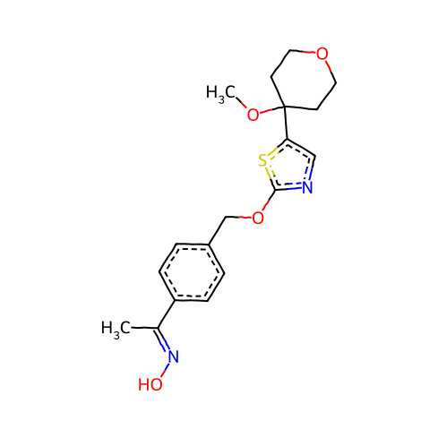 COC1(c2cnc(OCc3ccc(C(C)=NO)cc3)s2)CCOCC1